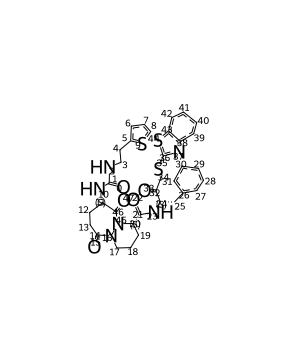 O=C(NCCc1cccs1)N[C@H]1CCC(=O)N2CCC[C@@H](C(=O)N[C@@H](Cc3ccccc3)C(=O)CSc3nc4ccccc4s3)N2C1=O